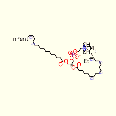 CC/C=C\C/C=C\C/C=C\C/C=C\CCCCC(=O)O[C@H](COC(=O)CCCCCCCCC/C=C\C/C=C\CCCCC)COP(=O)([O-])OCC[N+](C)(C)C